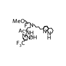 COC[C@@H](F)CN(CCCCc1ccc2c(n1)NCCC2)CC[C@H](Nc1ncc(C(F)(F)F)c[n+]1O)C(C)=O